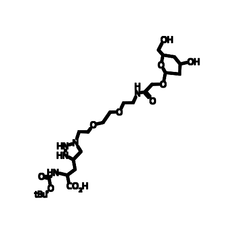 CC(C)(C)OC(=O)NC(CC1CN(CCOCCOCCNC(=O)COC2CC(O)CC(CO)O2)NN1)C(=O)O